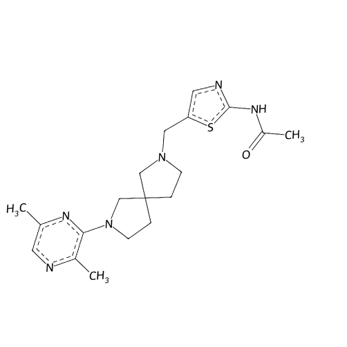 CC(=O)Nc1ncc(CN2CCC3(CCN(c4nc(C)cnc4C)C3)C2)s1